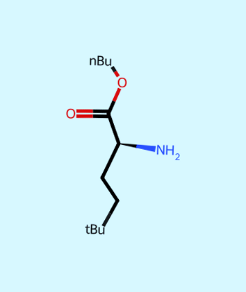 CCCCOC(=O)[C@@H](N)CCC(C)(C)C